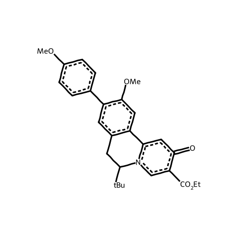 CCOC(=O)c1cn2c(cc1=O)-c1cc(OC)c(-c3ccc(OC)cc3)cc1CC2C(C)(C)C